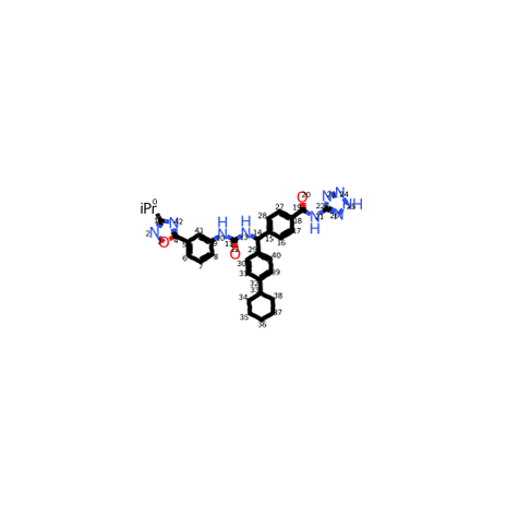 CC(C)c1noc(-c2cccc(NC(=O)NC(c3ccc(C(=O)Nc4nn[nH]n4)cc3)c3ccc(C4CCCCC4)cc3)c2)n1